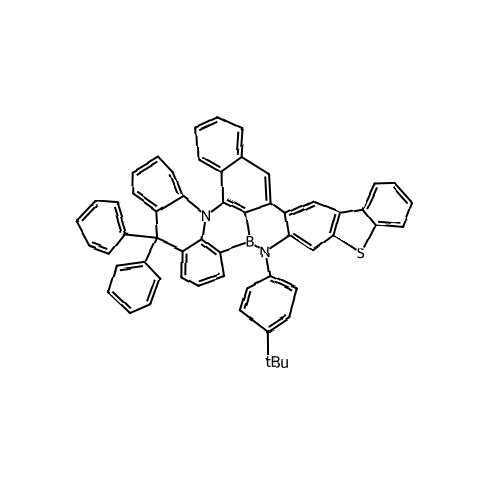 CC(C)(C)c1ccc(N2B3c4cccc5c4N(c4ccccc4C5(c4ccccc4)c4ccccc4)c4c3c(cc3ccccc43)-c3cc4c(cc32)sc2ccccc24)cc1